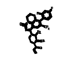 C=CC(=O)N1CCN(c2nc(=O)n3c4c(c(-c5ccc(F)cc5F)c(C(F)(F)F)cc24)SCC3)C(CC)C1CC